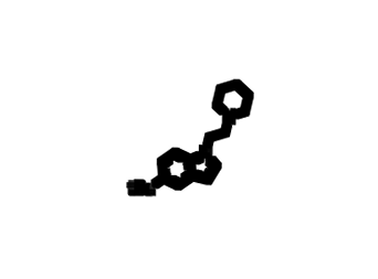 CC(C)(C)c1ccc2c(ccn2CCN2CCCCC2)c1